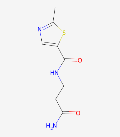 Cc1ncc(C(=O)NCCC(N)=O)s1